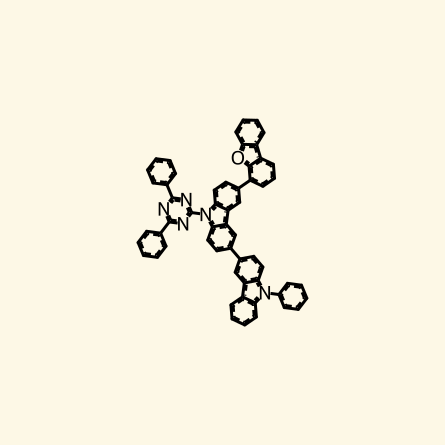 c1ccc(-c2nc(-c3ccccc3)nc(-n3c4ccc(-c5ccc6c(c5)c5ccccc5n6-c5ccccc5)cc4c4cc(-c5cccc6c5oc5ccccc56)ccc43)n2)cc1